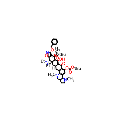 CCN(CC)[C@@H]1c2onc(OCc3ccccc3)c2C(=O)C2(O[Si](C)(C)C(C)(C)C)C(O)=C3C(=O)c4c(OC(=O)OC(C)(C)C)cc5c(c4C[C@H]3C[C@@H]12)N(C)CC1CCN(C)C51